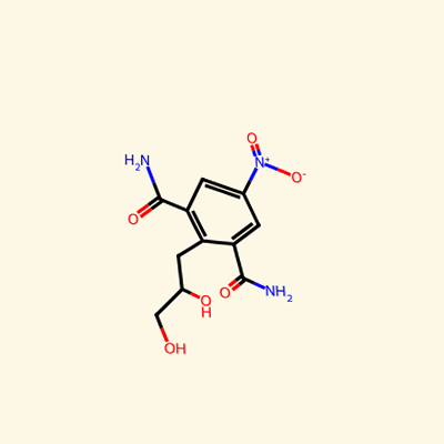 NC(=O)c1cc([N+](=O)[O-])cc(C(N)=O)c1CC(O)CO